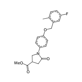 COC(=O)C1CC(=O)N(c2ccc(OCc3cc(F)ccc3C)cc2)C1